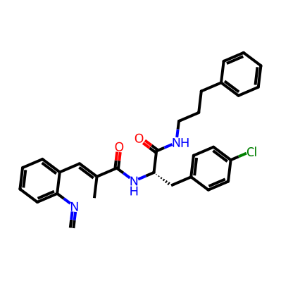 C=Nc1ccccc1/C=C(\C)C(=O)N[C@@H](Cc1ccc(Cl)cc1)C(=O)NCCCc1ccccc1